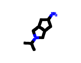 CC(C)N1CC2CC(N)CC2C1